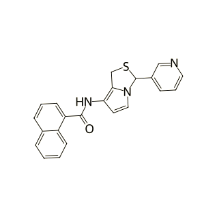 O=C(Nc1ccn2c1CSC2c1cccnc1)c1cccc2ccccc12